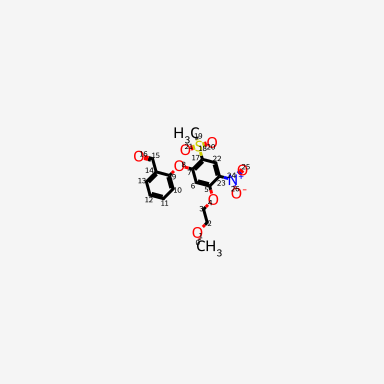 COCCOc1cc(Oc2ccccc2C=O)c(S(C)(=O)=O)cc1[N+](=O)[O-]